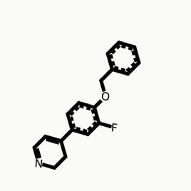 Fc1cc(C2=CC=NCC2)ccc1OCc1ccccc1